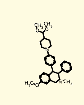 COc1ccc2c(c1)C[C@@H](C)C(c1ccccc1)C2c1ccc(N2CCC(C(OC)OC)CC2)cc1